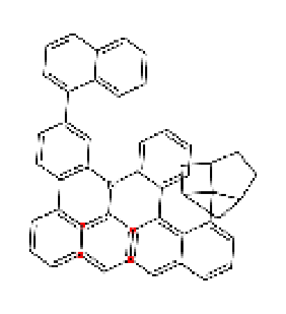 c1ccc(-c2ccc(-c3cccc4ccccc34)cc2N(c2ccccc2)c2ccccc2-c2cccc3cccc(C45C6CCC4CC5C6)c23)cc1